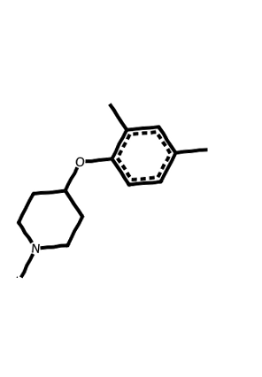 [CH2]N1CCC(Oc2ccc(C)cc2C)CC1